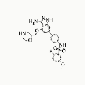 COc1ccc(F)c(S(=O)(=O)Nc2ccc(-c3cc(OCC4CNCCO4)c4c(N)n[nH]c4c3)cc2)c1